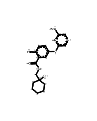 COc1cncc(Oc2ccc(Cl)c(C(=O)NCC3(O)CCCCC3)c2)n1